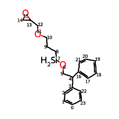 c1ccc(C(CO[SiH2]CCCOCC2CO2)c2ccccc2)cc1